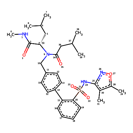 CNC(=O)[C@H](CC(C)C)N(Cc1ccc(-c2ccccc2S(=O)(=O)Nc2noc(C)c2C)cc1)C(=O)CC(C)C